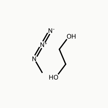 CN=[N+]=[N-].OCCO